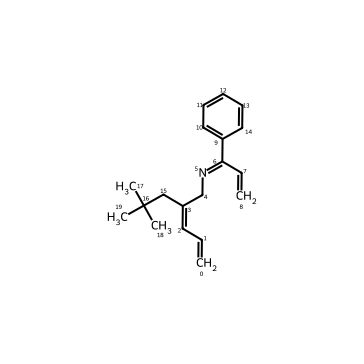 C=C/C=C(\C/N=C(\C=C)c1ccccc1)CC(C)(C)C